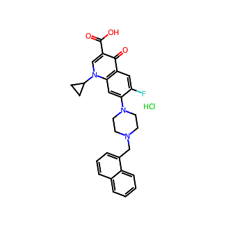 Cl.O=C(O)c1cn(C2CC2)c2cc(N3CCN(Cc4cccc5ccccc45)CC3)c(F)cc2c1=O